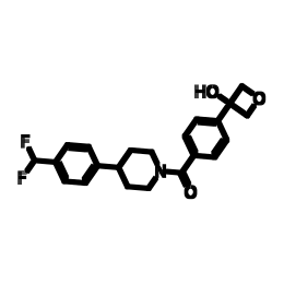 O=C(c1ccc(C2(O)COC2)cc1)N1CCC(c2ccc(C(F)F)cc2)CC1